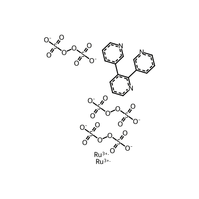 O=S(=O)([O-])OOS(=O)(=O)[O-].O=S(=O)([O-])OOS(=O)(=O)[O-].O=S(=O)([O-])OOS(=O)(=O)[O-].[Ru+3].[Ru+3].c1cncc(-c2cccnc2-c2cccnc2)c1